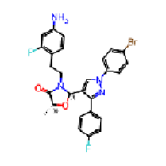 C[C@H]1O[C@H](c2cn(-c3ccc(Br)cc3)nc2-c2ccc(F)cc2)N(CCc2ccc(N)cc2F)C1=O